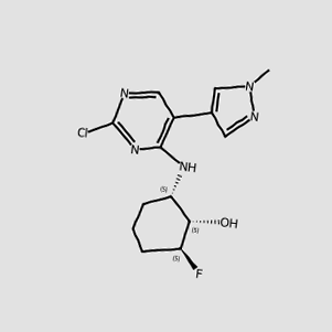 Cn1cc(-c2cnc(Cl)nc2N[C@H]2CCC[C@H](F)[C@H]2O)cn1